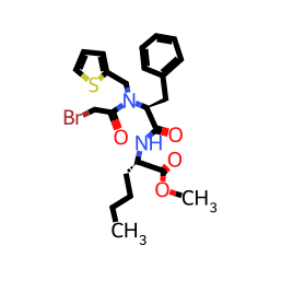 CCCC[C@H](NC(=O)[C@H](Cc1ccccc1)N(Cc1cccs1)C(=O)CBr)C(=O)OC